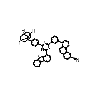 N#Cc1ccc2ccc3c(-c4cccc(-c5nc(-c6ccc(C78C[C@H]9C[C@H](C7)C[C@@H](C8)C9)cc6)nc(-c6cccc7c6oc6ccccc67)n5)c4)cccc3c2c1